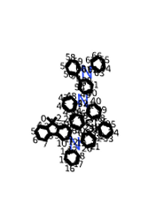 CC1(C)c2ccccc2-c2cc(N(c3ccccc3)c3cccc([Si](c4ccccc4)(c4ccccc4)c4cccc(N(c5ccccc5)c5ccc6c(c5)c5ccccc5n6-c5ccccc5)c4)c3)ccc21